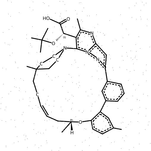 Cc1ccc2c(c1)-c1cccc(c1)-c1cc3nc(C)c([C@H](OC(C)(C)C)C(=O)O)c(n3n1)N1CCC(C)(CCC=CC[C@@H](C)O2)CC1